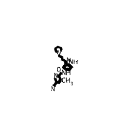 Cc1cc(C#N)cnc1C(=O)Nc1ccc2[nH]nc(CCCN3CCCCC3)c2c1